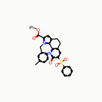 Cc1cccc(Cn2c(C(=O)OC(C)C)cc3c2-c2[nH]c(=O)c(S(=O)(=O)c4ccccc4)cc2CC3)c1